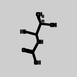 C[C@@H](O)C(S)NC(=O)O